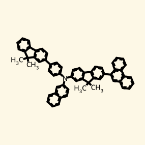 CC1(C)c2ccccc2-c2ccc(-c3ccc(N(c4ccc5c(c4)C(C)(C)c4cc(-c6cc7ccccc7c7ccccc67)ccc4-5)c4ccc5ccccc5c4)cc3)cc21